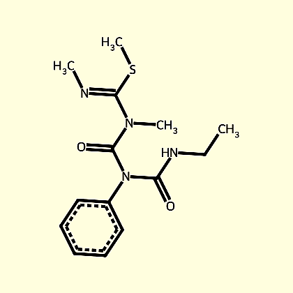 CCNC(=O)N(C(=O)N(C)C(=NC)SC)c1ccccc1